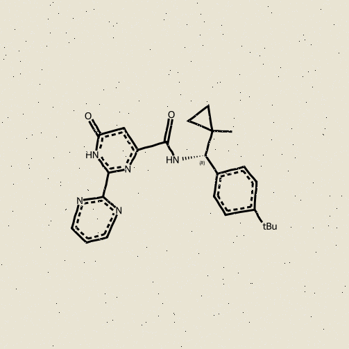 CC(C)(C)c1ccc([C@H](NC(=O)c2cc(=O)[nH]c(-c3ncccn3)n2)C2(C)CC2)cc1